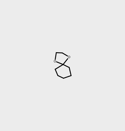 C1CCC2(CC1)OCCO2